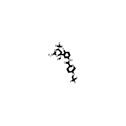 NC1=N[C@H](C(F)(F)F)C[C@@](CF)(c2cc(NC(=O)c3ccc(OCC(F)(F)F)cn3)ccc2F)O1